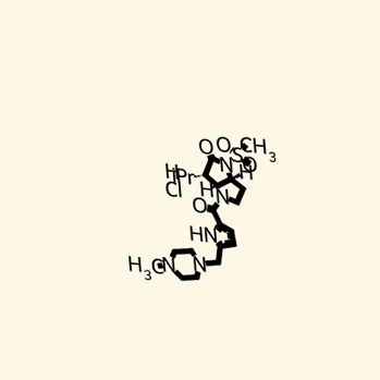 CC(C)[C@@H]1C(=O)N(S(C)(=O)=O)[C@@H]2CCN(C(=O)c3ccc(CN4CCN(C)CC4)[nH]3)[C@H]21.Cl